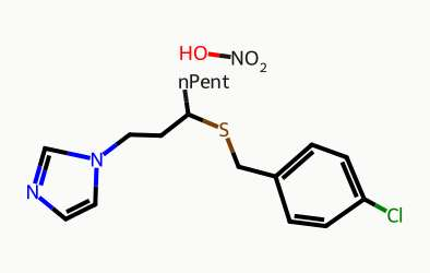 CCCCCC(CCn1ccnc1)SCc1ccc(Cl)cc1.O=[N+]([O-])O